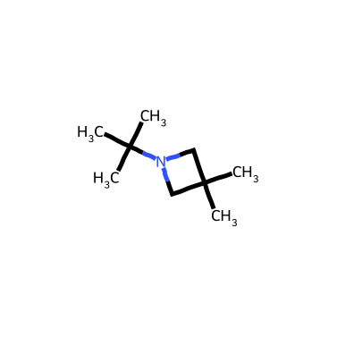 CC1(C)CN(C(C)(C)C)C1